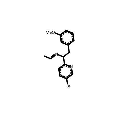 CC=NC(Cc1cccc(OC)c1)c1ccc(Br)cn1